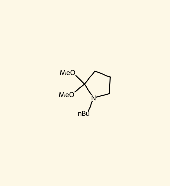 CCCCN1CCCC1(OC)OC